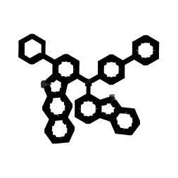 C1=CCCC(c2ccc(N(c3ccc(-c4ccccc4)cc3)c3cccc4c3sc3ccccc34)c3c2oc2cc4ccccc4cc23)=C1